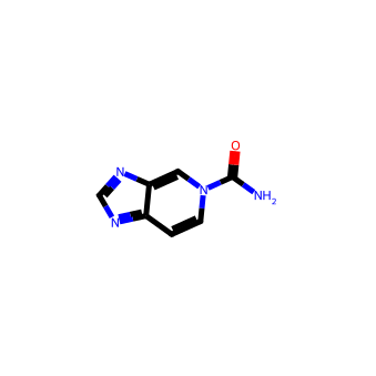 NC(=O)n1ccc2ncnc-2c1